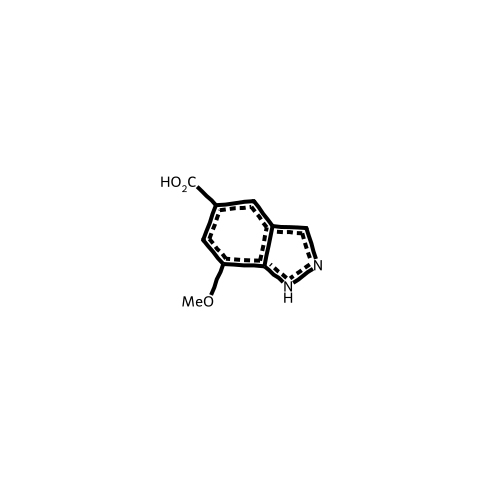 COc1cc(C(=O)O)cc2cn[nH]c12